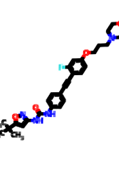 CC(C)(C)c1cc(NC(=O)Nc2ccc(C#Cc3ccc(OCCCN4CCOCC4)cc3F)cc2)no1